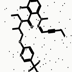 CCC#C/C=N\N(C)c1cccc(F)c1C(=O)N(CC)C(C)COc1ccc(C(F)(F)F)cn1